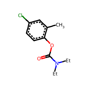 CCN(CC)C(=O)Oc1ccc(Cl)cc1C